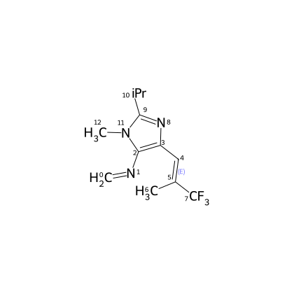 C=Nc1c(/C=C(\C)C(F)(F)F)nc(C(C)C)n1C